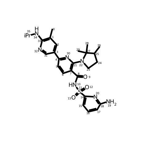 Cc1cc(-c2ccc(C(=O)NS(=O)(=O)c3cccc(N)n3)c(N3CCC(C)C3(C)C)n2)cnc1NC(C)C